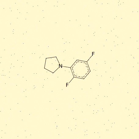 Fc1ccc(F)c(N2CCCC2)c1